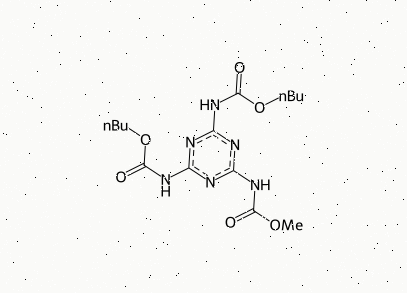 CCCCOC(=O)Nc1nc(NC(=O)OC)nc(NC(=O)OCCCC)n1